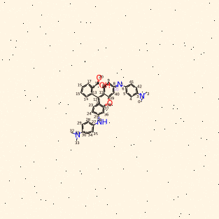 CN(C)c1ccc(/N=c2/ccc3c(-c4ccccc4C(=O)O)c4ccc(Nc5ccc(N(C)C)cc5)cc4oc-3c2)cc1